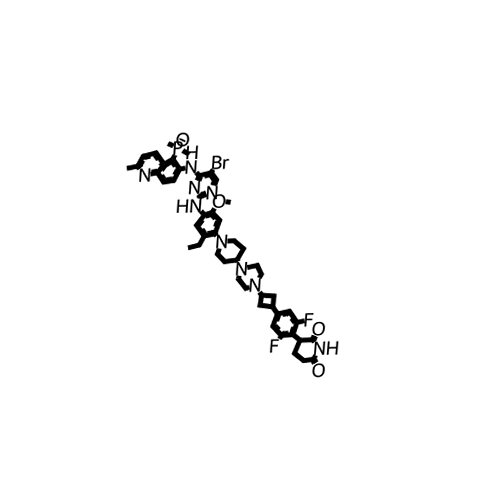 CCc1cc(Nc2ncc(Br)c(Nc3ccc4nc(C)ccc4c3P(C)(C)=O)n2)c(OC)cc1N1CCC(N2CCN(C3CC(c4cc(F)c(C5CCC(=O)NC5=O)c(F)c4)C3)CC2)CC1